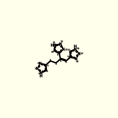 C(=C(CCc1c[nH]nn1)c1c[nH]nn1)c1c[nH]nn1